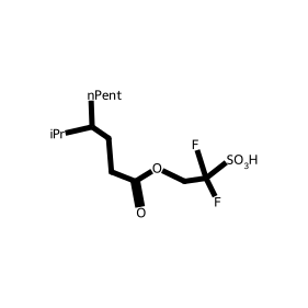 CCCCCC(CCC(=O)OCC(F)(F)S(=O)(=O)O)C(C)C